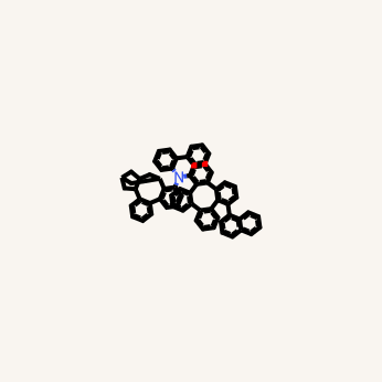 c1ccc(-c2ccccc2N(c2cccc3c2-c2ccccc2-c2ccccc2-c2c-3cccc2-c2cccc3ccccc23)c2cccc3c2C2CC4CC(C2)C(C4)c2ccccc2-3)cc1